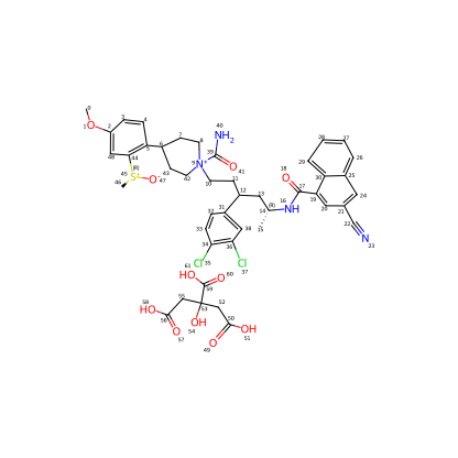 COc1ccc(C2CC[N+](CCC(C[C@@H](C)NC(=O)c3cc(C#N)cc4ccccc34)c3ccc(Cl)c(Cl)c3)(C(N)=O)CC2)c([S@+](C)[O-])c1.O=C(O)CC(O)(CC(=O)O)C(=O)O